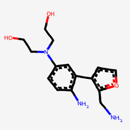 NCc1occc1-c1cc(N(CCO)CCO)ccc1N